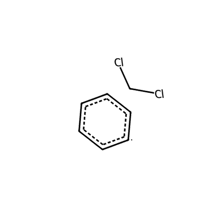 ClCCl.[c]1ccccc1